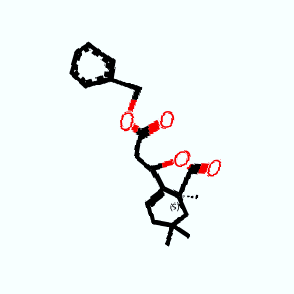 CC1(C)CC=C2C(CC(=O)OCc3ccccc3)OC(=O)[C@@]2(C)C1